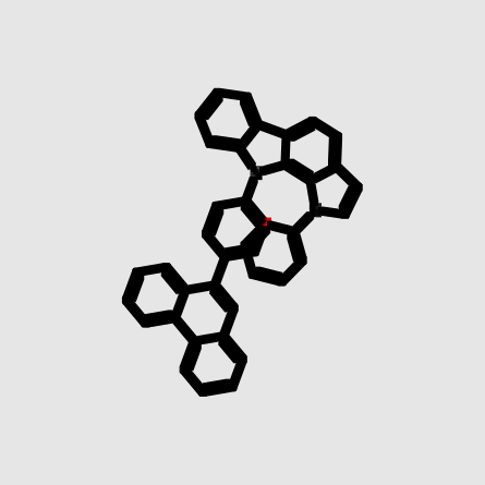 c1ccc(-n2ccc3ccc4c5ccccc5n(-c5ccc(-c6cc7ccccc7c7ccccc67)cc5)c4c32)cc1